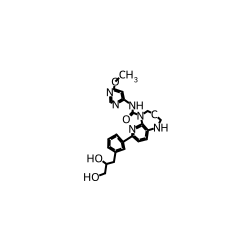 COc1cc(NC(=O)N2CCCNc3ccc(-c4cccc(CC(O)CO)c4)nc32)ncn1